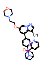 N#Cc1cnn2cc(OCCN3CCOCC3)cc(-c3ccc(N4CC5CC(C4)N5C(=O)c4cccnc4)nc3)c12